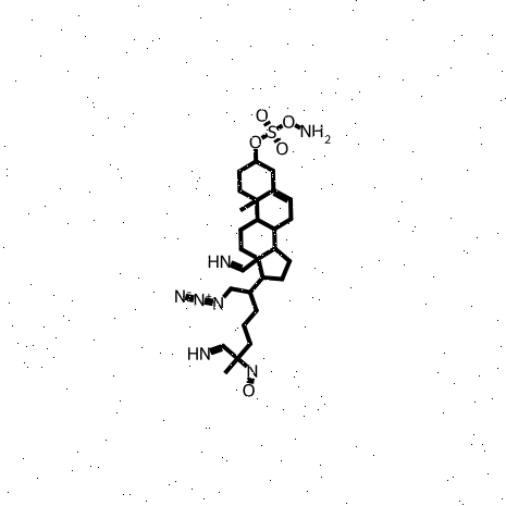 CC(C=N)(CCCC(CN=[N+]=[N-])C1CCC2C3CC=C4CC(OS(=O)(=O)ON)CCC4(C)C3CCC12C=N)N=O